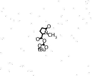 CN1C(=O)CCC1C(=O)OC(=O)OC(C)(C)C